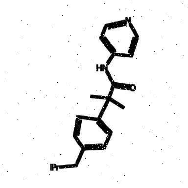 CC(C)Cc1ccc(C(C)(C)C(=O)Nc2ccncc2)cc1